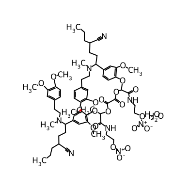 CCCC(C#N)CCC(c1ccc(OC(OC(=O)C(=O)OC(Oc2ccc(C(CCC(C#N)CCC)N(C)CCc3ccc(OC)c(OC)c3)cc2OC)C(=O)NCCO[N+](=O)[O-])C(=O)NCCO[N+](=O)[O-])c(OC)c1)N(C)CCc1ccc(OC)c(OC)c1.O.O